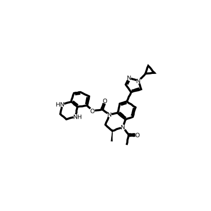 CC(=O)N1c2ccc(-c3cnn(C4CC4)c3)cc2N(C(=O)Oc2cccc3c2NCCN3)C[C@@H]1C